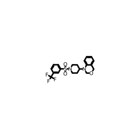 O=S(=O)(c1cccc(C(F)(F)F)c1)N1CCC(N2COCc3ccccc32)CC1